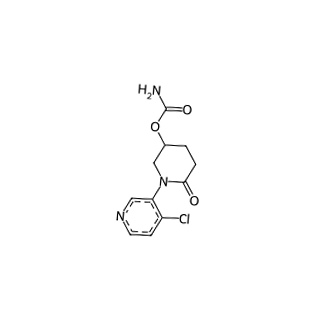 NC(=O)OC1CCC(=O)N(c2cnccc2Cl)C1